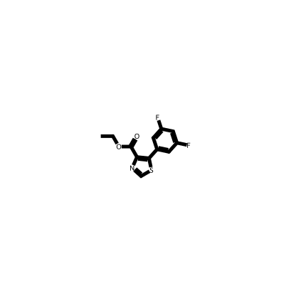 CCOC(=O)c1ncsc1-c1cc(F)cc(F)c1